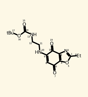 CCc1nc2c(o1)C(=O)C=C(NCCNC(=O)OC(C)(C)C)C2=O